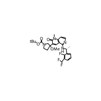 COC1(c2cc3c(N[C@H](C)c4cccc(C(F)F)c4F)nccc3n(C)c2=O)CCN(C(=O)OC(C)(C)C)C1